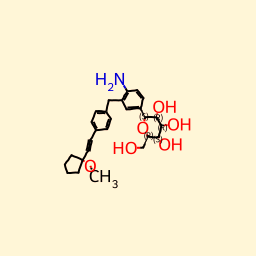 COC1(C#Cc2ccc(Cc3cc([C@@H]4O[C@H](CO)[C@@H](O)[C@H](O)[C@H]4O)ccc3N)cc2)CCCC1